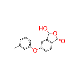 Cc1cccc(Oc2ccc3c(c2)C(O)OC3=O)c1